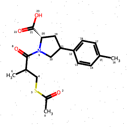 CC(=O)SCC(C)C(=O)N1CC(c2ccc(C)cc2)C[C@H]1C(=O)O